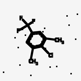 Cc1cc(C(F)(F)F)cc(C)c1Cl